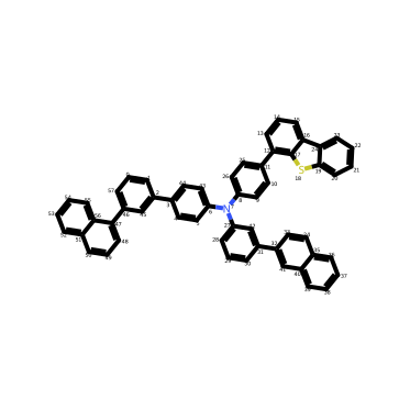 c1cc(-c2ccc(N(c3ccc(-c4cccc5c4sc4ccccc45)cc3)c3cccc(-c4ccc5ccccc5c4)c3)cc2)cc(-c2cccc3ccccc23)c1